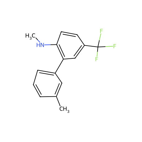 CNc1ccc(C(F)(F)F)cc1-c1cccc(C)c1